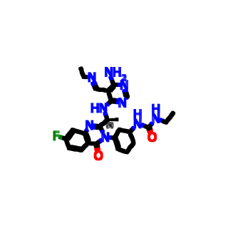 CCN=Cc1c(N)ncnc1N[C@@H](C)c1nc2cc(F)ccc2c(=O)n1C1=CCCC(NC(=O)NCC)C1